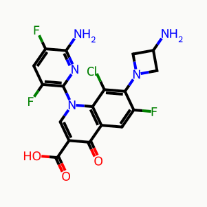 Nc1nc(-n2cc(C(=O)O)c(=O)c3cc(F)c(N4CC(N)C4)c(Cl)c32)c(F)cc1F